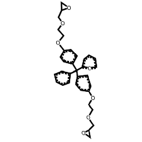 c1ccc(C(c2ccccc2)(c2ccc(OCCOCC3CO3)cc2)c2ccc(OCCOCC3CO3)cc2)cc1